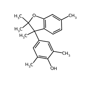 Cc1ccc2c(c1)OC(C)(C)C2(C)c1cc(C)c(O)c(C)c1